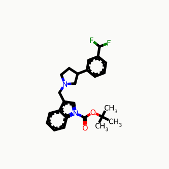 CC(C)(C)OC(=O)n1cc(CN2CCC(c3cccc(C(F)F)c3)C2)c2ccccc21